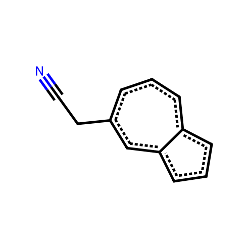 N#CCc1cccc2cccc-2c1